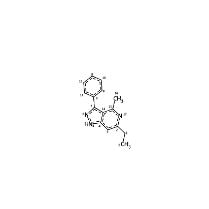 CCc1cc2[nH]nc(-c3ccccc3)c2c(C)n1